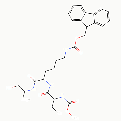 CC(C)CC(NC(=O)OC(C)(C)C)C(=O)NC(CCCCNC(=O)OCC1c2ccccc2-c2ccccc21)C(=O)NC(CO)C(=O)O